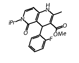 COC(=O)C1=C(C)Nc2ccn(C(C)C)c(=O)c2C1c1ccccc1F